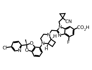 C[C@]1(c2ccc(Cl)cn2)Oc2cccc(N3CCN(Cc4nc5c(F)cc(C(=O)O)cc5n4CC4(C#N)CC4)[C@H]4CC[C@@H]43)c2O1